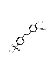 COc1cc(/C=C/c2ccc(S(C)(=O)=O)cc2)ccc1C=O